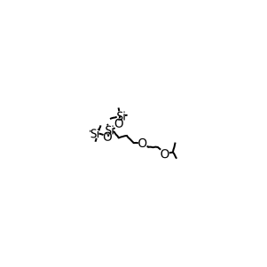 CC(C)OCCOCCC[Si](C)(O[Si](C)(C)C)O[Si](C)(C)C